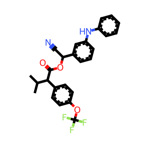 CC(C)C(C(=O)OC(C#N)c1cccc(Nc2ccccc2)c1)c1ccc(OC(F)(F)F)cc1